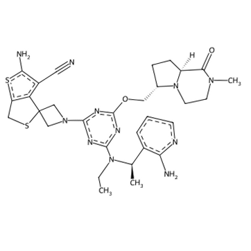 CCN(c1nc(OC[C@@H]2CC[C@H]3C(=O)N(C)CCN23)nc(N2CC3(C2)SCc2sc(N)c(C#N)c23)n1)[C@H](C)c1cccnc1N